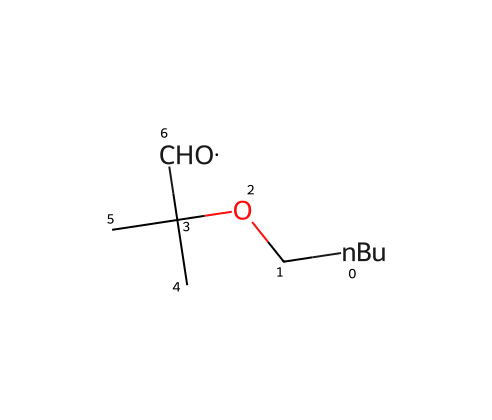 CCCCCOC(C)(C)[C]=O